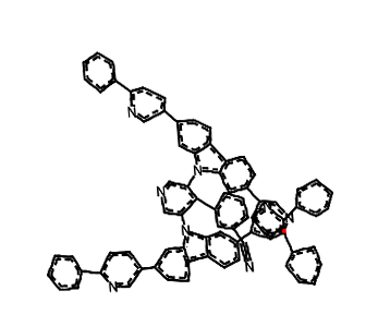 N#Cc1cccc(-c2c(-n3c4cc(-c5ccc(-c6ccccc6)nc5)ccc4c4ccc(-c5ccc(-c6ccccc6)nc5)cc43)cncc2-n2c3cc(-c4ccc(-c5ccccc5)nc4)ccc3c3ccc(-c4ccc(-c5ccccc5)nc4)cc32)c1